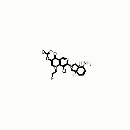 N[C@@H]1C=CC[C@@H]2CN(c3ncc4c(=O)c(OC(=O)O)cn(CCF)c4c3Cl)C[C@@H]21